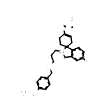 CC[Si](CC)(CC)OC1=CCC2(CC1)c1ccc(Cl)cc1CN2C[C@@H](C)COCc1ccc(OC)cc1